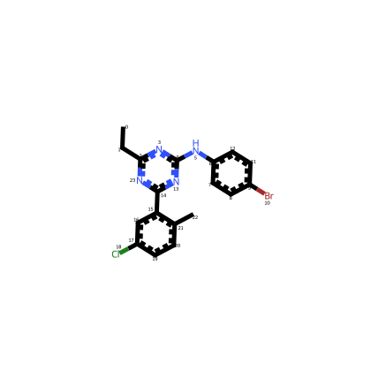 CCc1nc(Nc2ccc(Br)cc2)nc(-c2cc(Cl)ccc2C)n1